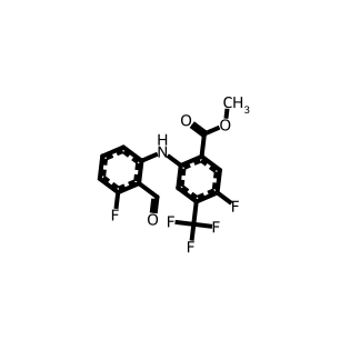 COC(=O)c1cc(F)c(C(F)(F)F)cc1Nc1cccc(F)c1C=O